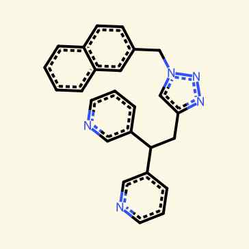 c1cncc(C(Cc2cn(Cc3ccc4ccccc4c3)nn2)c2cccnc2)c1